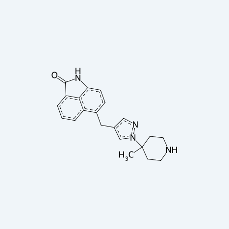 CC1(n2cc(Cc3ccc4c5c(cccc35)C(=O)N4)cn2)CCNCC1